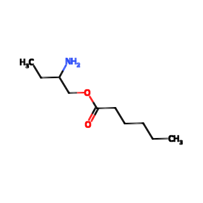 CCCCCC(=O)OCC(N)CC